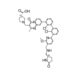 COc1nc(-c2cccc(-c3cccc(-c4ccn5c(=O)c(CN6CC[C@H](C(=O)O)C6)c(C)nc5c4)c3Cl)c2Cl)ccc1CNC[C@H]1CCC(=O)N1